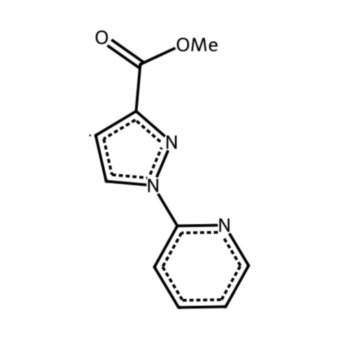 COC(=O)c1[c]cn(-c2ccccn2)n1